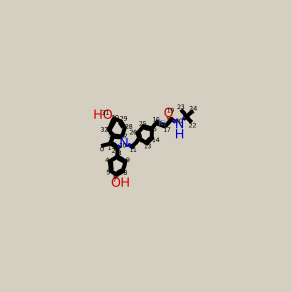 Cc1c(-c2ccc(O)cc2)n(Cc2ccc(/C=C/C(=O)NC(C)(C)C)cc2)c2ccc(O)cc12